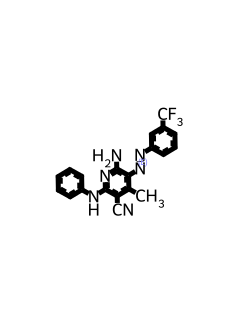 Cc1c(C#N)c(Nc2ccccc2)nc(N)c1/N=N/c1cccc(C(F)(F)F)c1